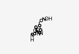 O=S(=O)(c1ccccc1)N(c1ccc2[nH]ccc2c1)c1ncnc2ccc(-c3ccc(CC4CCC5(CC4)CN5CO)cc3)cc12